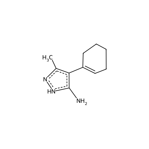 Cc1n[nH]c(N)c1C1=CCCCC1